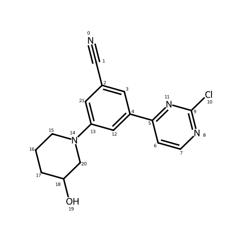 N#Cc1cc(-c2ccnc(Cl)n2)cc(N2CCCC(O)C2)c1